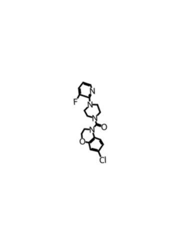 O=C(N1CCN(c2ncccc2F)CC1)N1CCOc2cc(Cl)ccc21